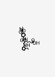 CCc1ccccc1NC=C1C(=O)N(c2ccc(S(=O)(=O)N(CC)CC)cc2)N=C1CCCC(=O)O